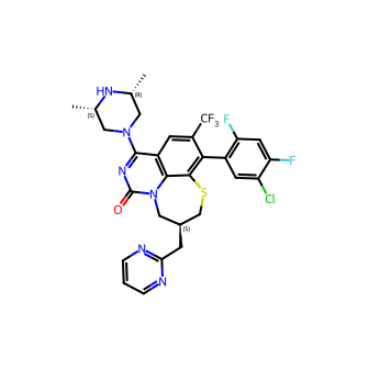 C[C@@H]1CN(c2nc(=O)n3c4c(c(-c5cc(Cl)c(F)cc5F)c(C(F)(F)F)cc24)SC[C@@H](Cc2ncccn2)C3)C[C@H](C)N1